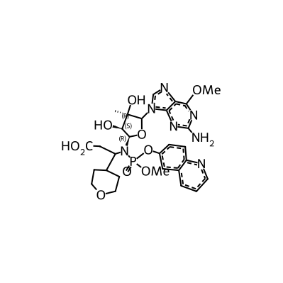 COc1nc(N)nc2c1ncn2C1O[C@@H](N(C(CC(=O)O)C2CCOCC2)P(=O)(OC)Oc2ccc3ncccc3c2)[C@@H](O)[C@@]1(C)O